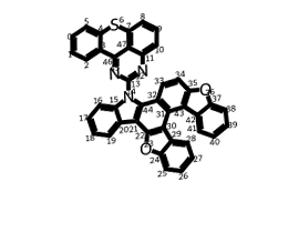 c1ccc2c(c1)Sc1cccc3nc(-n4c5ccccc5c5c6oc7ccccc7c6c6c(ccc7oc8ccccc8c76)c54)nc-2c13